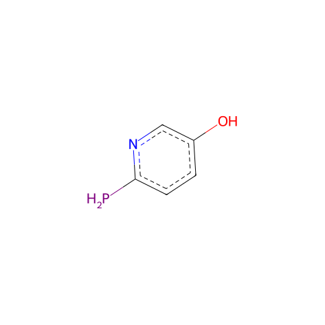 Oc1ccc(P)nc1